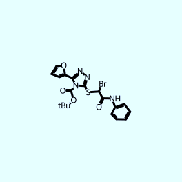 CC(C)(C)OC(=O)n1c(SC(Br)C(=O)Nc2ccccc2)nnc1-c1ccco1